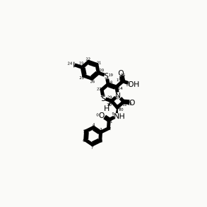 O=C(Cc1ccccc1)N[C@@H]1C(=O)N2C(C(=O)O)=C(Sc3ccc(I)cc3)CS[C@H]12